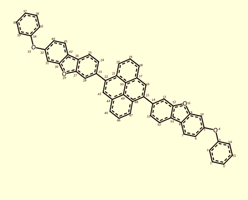 c1ccc(Oc2ccc3c(c2)oc2cc(-c4cc5cccc6c(-c7ccc8c(c7)oc7cc(Oc9ccccc9)ccc78)cc7cccc4c7c56)ccc23)cc1